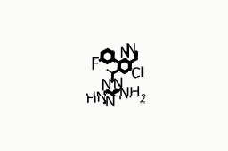 C[C@H](c1nc(N)c2nc[nH]c2n1)c1cc(Cl)c2ccnnc2c1-c1cccc(F)c1